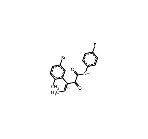 C/C=C(/C(=O)C(=O)Nc1ccc(F)cc1)c1cc(Br)ccc1C